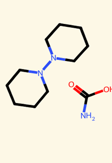 C1CCN(N2CCCCC2)CC1.NC(=O)O